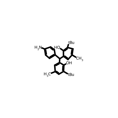 Cc1cc(C(c2ccc(N)cc2)c2cc(C)cc(C(C)(C)C)c2O)c(O)c(C(C)(C)C)c1